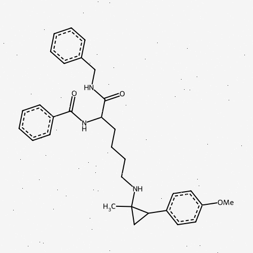 COc1ccc(C2CC2(C)NCCCCC(NC(=O)c2ccccc2)C(=O)NCc2ccccc2)cc1